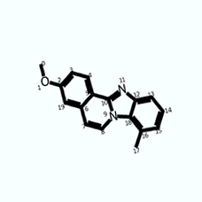 COc1ccc2c(ccn3c2nc2cccc(C)c23)c1